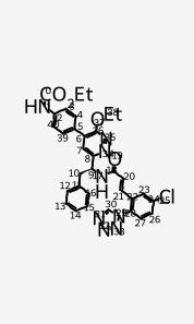 CCOC(=O)Nc1ccc(-c2cc([C@H](Cc3ccccc3)NC(=O)/C=C/c3cc(Cl)ccc3-n3cnnn3)nnc2OCC)cc1